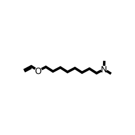 C=COCCCCCCCCN(C)C